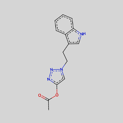 CC(=O)Oc1cn(CCc2c[nH]c3ccccc23)nn1